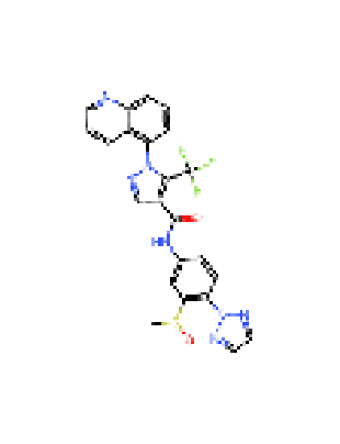 C[S+]([O-])c1cc(NC(=O)c2cnn(-c3cccc4ncccc34)c2C(F)(F)F)ccc1-n1nccn1